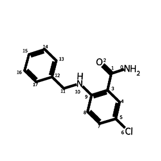 NC(=O)c1cc(Cl)ccc1NCc1ccccc1